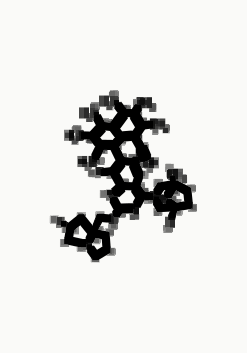 Bc1c(B)c(C#C)c2c(-c3c(F)cc4c(N5C[C@H]6CC[C@](C)(C5)N6)nc(OC[C@@]56CCCN5C[C@H](F)C6)nc4c3F)c(B)c(B)c(B)c2c1B